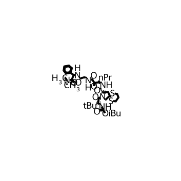 CCCC(NC(=O)[C@@H]1CC2(CN1C(=O)[C@@H](NC(=O)OCC(C)C)C(C)(C)C)SCCCS2)C(=O)C(=O)NCC(=O)NC(C(=O)N(C)C)c1ccccc1